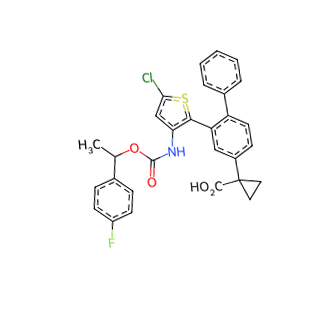 CC(OC(=O)Nc1cc(Cl)sc1-c1cc(C2(C(=O)O)CC2)ccc1-c1ccccc1)c1ccc(F)cc1